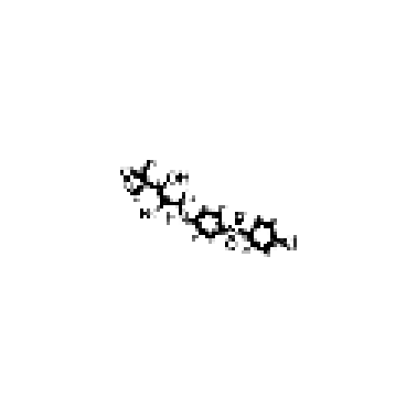 Cc1oncc1/C(O)=C(\C#N)C(=O)Nc1ccc(S(=O)(=O)c2ccc(Cl)cc2)cc1